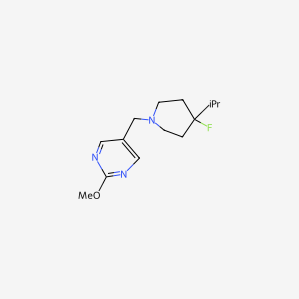 COc1ncc(CN2CCC(F)(C(C)C)CC2)cn1